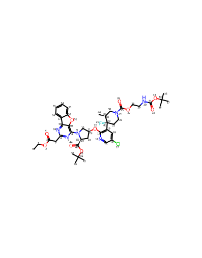 CCOC(=O)Cc1nc(N2C[C@@H](Oc3ncc(Cl)cc3[C@@]3(F)CCN(C(=O)OCCNC(=O)OC(C)(C)C)C[C@@H]3C)C[C@H]2C(=O)OC(C)(C)C)c2oc3ccccc3c2n1